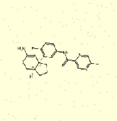 C=C(Nc1ccc(F)c([C@]23CCC[C@H]2CSC(N)=N3)c1)c1cnc(C)cn1